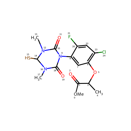 COC(=O)C(C)Oc1cc(N2C(=O)N(C)C(S)N(C)C2=O)c(F)cc1Cl